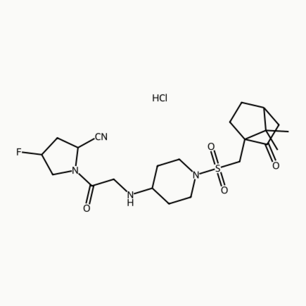 CC1(C)C2CCC1(CS(=O)(=O)N1CCC(NCC(=O)N3CC(F)CC3C#N)CC1)C(=O)C2.Cl